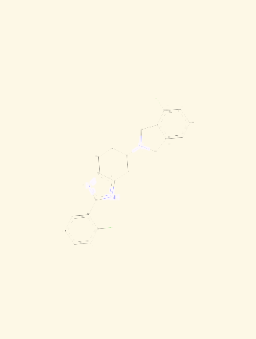 Clc1ccccc1-c1nc2c([nH]1)CC(N1Cc3cccc(Cl)c3C1)CC2